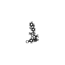 CC1(C)C(C(=O)O[C@@H](C#N)c2ccc(F)c(Oc3ccccc3)c2)C1C(Br)C(Cl)(Br)c1ccc(Cl)cc1